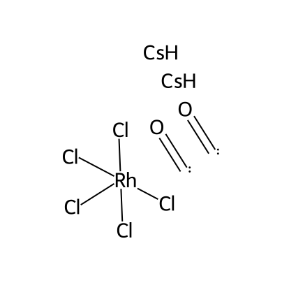 [C]=O.[C]=O.[Cl][Rh]([Cl])([Cl])([Cl])[Cl].[CsH].[CsH]